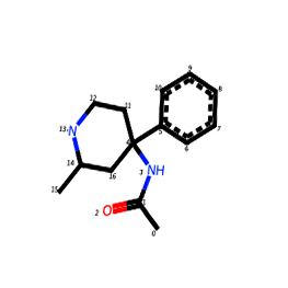 CC(=O)NC1(c2ccccc2)CC[N]C(C)C1